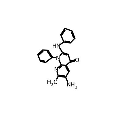 Cc1nc2c(cc1N)c(=O)cc(Nc1ccccc1)n2-c1ccccc1